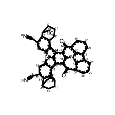 N#Cc1cc2c(c3c1C1CCC3CC1)c1c3c(=O)c4cccc5c6cccc7c(=O)c(c8c9c%10c(c(C#N)cc9n2c18)C1CCC%10CC1)c3n(c45)c76